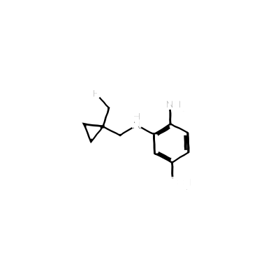 Nc1ccc(C(=O)O)cc1NCC1(CF)CC1